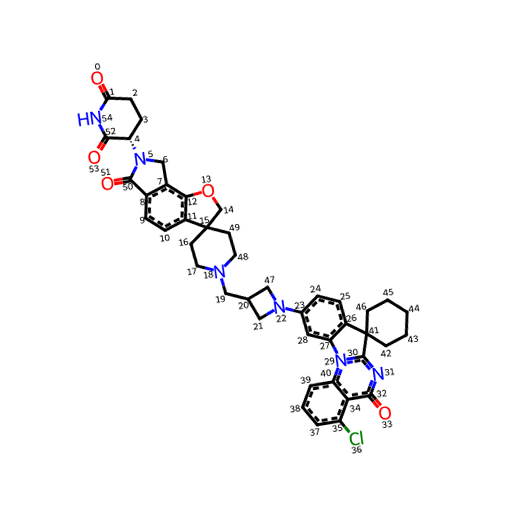 O=C1CC[C@H](N2Cc3c(ccc4c3OCC43CCN(CC4CN(c5ccc6c(c5)-n5c(nc(=O)c7c(Cl)cccc75)C65CCCCC5)C4)CC3)C2=O)C(=O)N1